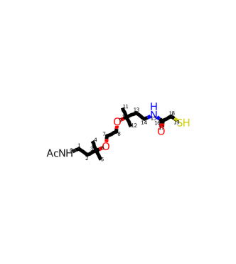 CC(=O)NCCC(C)(C)OCCOC(C)(C)CCNC(=O)CS